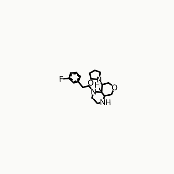 O=C(Cc1cccc(F)c1)N1CCNC2COCC(N3CCCC3)[C@H]21